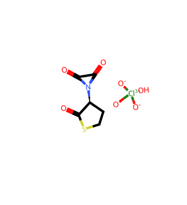 O=C1SCC[C@@H]1n1c(=O)c1=O.[O-][Cl+3]([O-])([O-])O